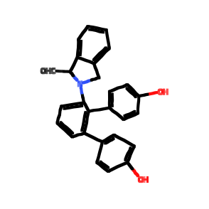 O=CC1c2ccccc2CN1c1cccc(-c2ccc(O)cc2)c1-c1ccc(O)cc1